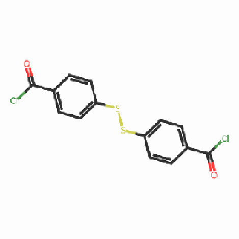 O=C(Cl)c1ccc(SSc2ccc(C(=O)Cl)cc2)cc1